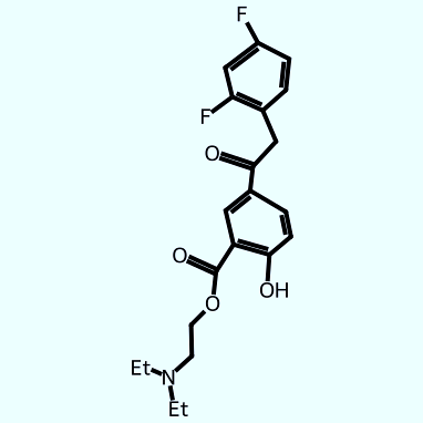 CCN(CC)CCOC(=O)c1cc(C(=O)Cc2ccc(F)cc2F)ccc1O